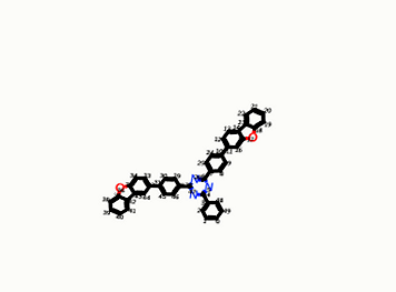 c1ccc(-c2nc(-c3ccc(-c4ccc5c(c4)oc4ccccc45)cc3)nc(-c3ccc(-c4ccc5oc6ccccc6c5c4)cc3)n2)cc1